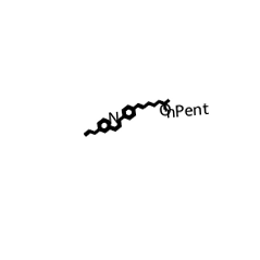 C=CCc1ccc2nc(-c3ccc(C=CCCCC(C)OCCCCC)cc3)ccc2c1